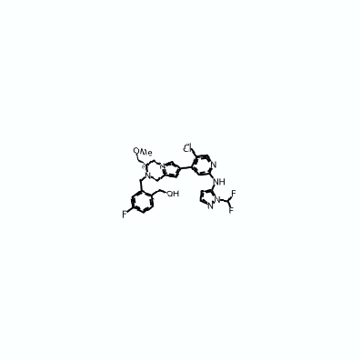 COC[C@H]1Cn2cc(-c3cc(Nc4ccnn4C(F)F)ncc3Cl)cc2CN1Cc1cc(F)ccc1CO